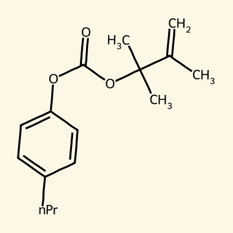 C=C(C)C(C)(C)OC(=O)Oc1ccc(CCC)cc1